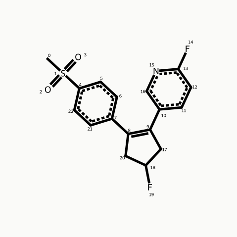 CS(=O)(=O)c1ccc(C2=C(c3ccc(F)nc3)CC(F)C2)cc1